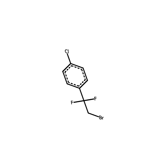 FC(F)(CBr)c1ccc(Cl)cc1